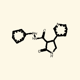 O=C1NCC(c2cccnc2)C1C(=O)NNc1ccccc1